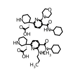 CCCNc1nc([C@]2(CC(=O)O)CCCNC2)ccc1C(=O)N(C)C1CCCCC1.O=C(O)C[C@@]1(c2ccc(C(=O)NC3CCCCC3)c(N3CCOCC3)n2)CCCNC1